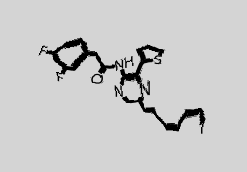 O=C(Cc1ccc(F)c(F)c1)Nc1ncc(/C=C/C=C\C=C/I)nc1-c1cccs1